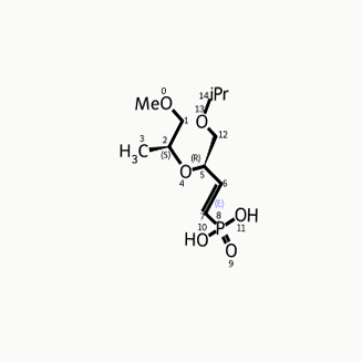 COC[C@H](C)O[C@H](/C=C/P(=O)(O)O)COC(C)C